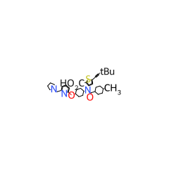 CC1CCC(C(=O)N(c2cc(C#CC(C)(C)C)sc2C(=O)O)[C@H]2CC[C@H](Oc3cccc(CN4CCCC4)n3)CC2)CC1